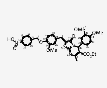 CCOC(=O)C1=C(C)N=c2s/c(=C\c3ccc(OCc4ccc([N+](=O)O)cc4)c(OC)c3)c(=O)n2C1c1ccc(OC)c(OC)c1